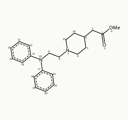 COC(=O)CC1CCN(CCN(c2ccccc2)c2ccccc2)CC1